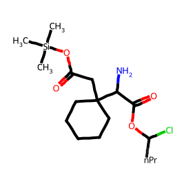 CCCC(Cl)OC(=O)C(N)C1(CC(=O)O[Si](C)(C)C)CCCCC1